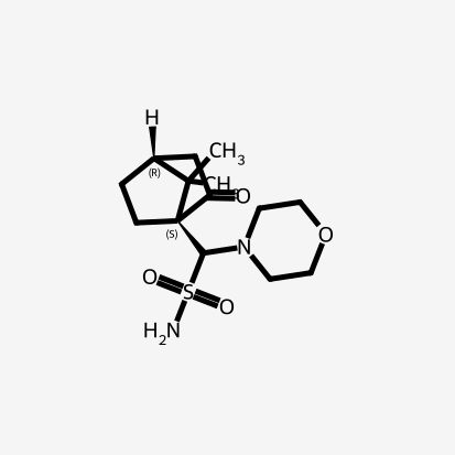 CC1(C)[C@@H]2CC[C@@]1(C(N1CCOCC1)S(N)(=O)=O)C(=O)C2